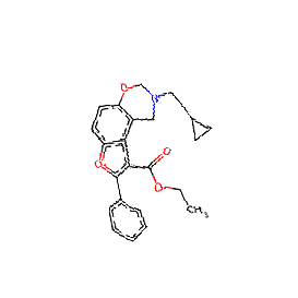 CCOC(=O)c1c(-c2ccccc2)oc2ccc3c(c12)CN(CC1CC1)CO3